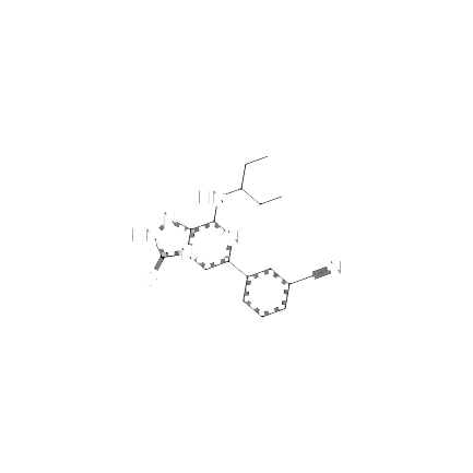 CCC(CC)Nc1nc(-c2cccc(C#N)c2)cn2c(=O)[nH]nc12